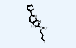 [O-][S+](CCCI)c1nc2nc(-c3cccs3)ccc2[nH]1